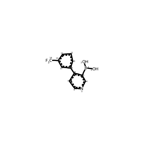 OB(O)c1cnccc1-c1cccc(C(F)(F)F)c1